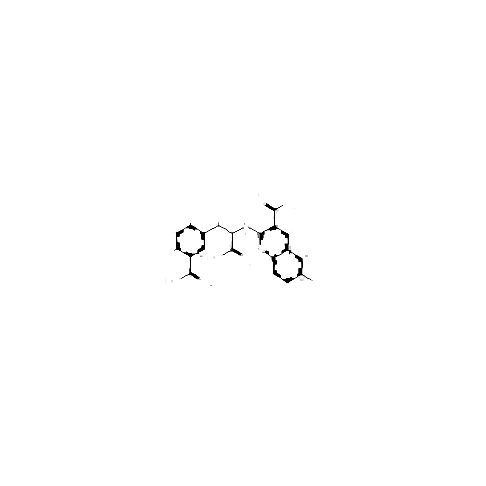 O=C(O)c1cccc(CC(Nc2nc3ccc(Cl)cc3cc2C(=O)O)C(=O)O)c1